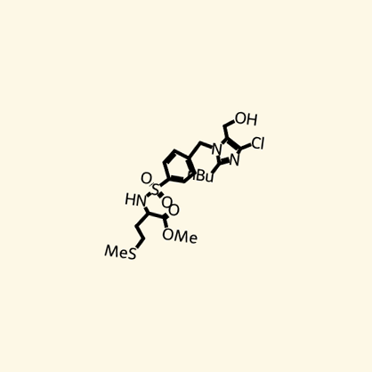 CCCCc1nc(Cl)c(CO)n1Cc1ccc(S(=O)(=O)NC(CCSC)C(=O)OC)cc1